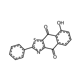 O=C1c2cccc(O)c2C(=O)c2sc(-c3ccccc3)nc21